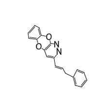 C(=C\c1cc2c(nn1)Oc1ccccc1O2)/Cc1ccccc1